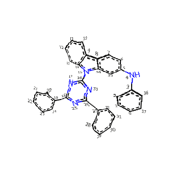 c1ccc(Nc2ccc3c4ccccc4n(-c4nc(-c5ccccc5)nc(-c5ccccc5)n4)c3c2)cc1